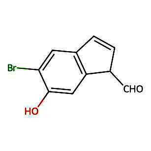 O=CC1C=Cc2cc(Br)c(O)cc21